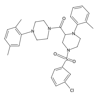 Cc1ccc(C)c(N2CCN(C(=O)C3CN(S(=O)(=O)c4cccc(Cl)c4)CCN3c3ccccc3C)CC2)c1